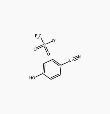 N#[N+]c1ccc(O)cc1.O=S(=O)([O-])C(F)(F)F